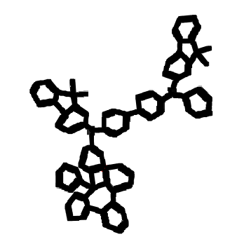 CC1(C)c2ccccc2-c2ccc(N(c3ccccc3)c3ccc(-c4ccc(N(c5ccc(C6(c7ccccc7)c7ccccc7-c7ccccc7-c7ccccc76)cc5)c5ccc6c(c5)C(C)(C)c5ccccc5-6)cc4)cc3)cc21